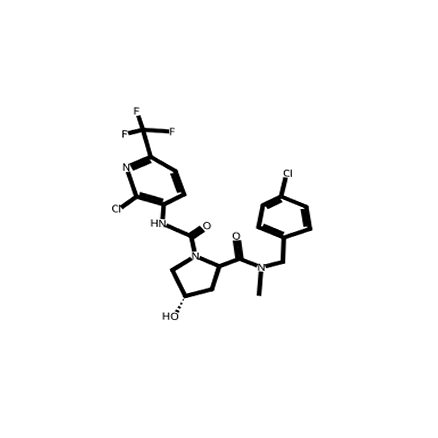 CN(Cc1ccc(Cl)cc1)C(=O)C1C[C@H](O)CN1C(=O)Nc1ccc(C(F)(F)F)nc1Cl